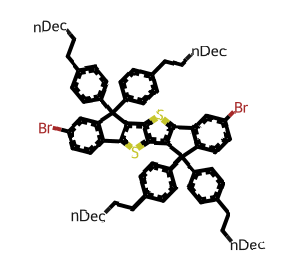 CCCCCCCCCCCCc1ccc(C2(c3ccc(CCCCCCCCCCCC)cc3)c3ccc(Br)cc3-c3sc4c5c(sc4c32)-c2ccc(Br)cc2C5(c2ccc(CCCCCCCCCCCC)cc2)c2ccc(CCCCCCCCCCCC)cc2)cc1